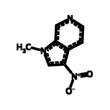 Cn1cc([N+](=O)[O-])c2ccncc21